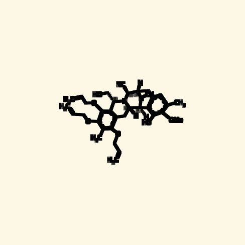 C=CCOc1c(C)c(OCC=C)c(OCC=C)c2c1C[C@H]1[C@@H]3c4c(cc(C)c(OC)c4O)C[C@@H]([C@H](C#N)N1[C@H]2CO)N3C